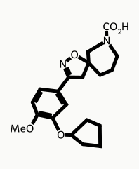 COc1ccc(C2=NOC3(CCCN(C(=O)O)C3)C2)cc1OC1CCCC1